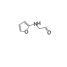 O=[C]CNc1ccco1